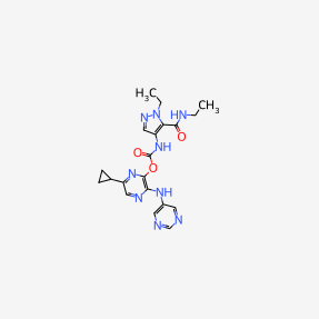 CCNC(=O)c1c(NC(=O)Oc2nc(C3CC3)cnc2Nc2cncnc2)cnn1CC